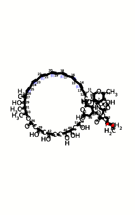 C=CCOC(=O)N[C@@H]1[C@H](O)[C@H](C[C@H]2/C=C/C=C/C=C/C=C/C=C/C=C/C=C/[C@H](C)[C@@H](O)[C@@H](C)[C@H](C)OC(=O)C[C@H](O)C[C@H](O)CC[C@@H](O)[C@H](O)C[C@H](O)C[C@]3(O)C[C@H](OC(=O)OCC=C)[C@@H](N=C=O)[C@H](C2)O3)O[C@H](C)[C@H]1O